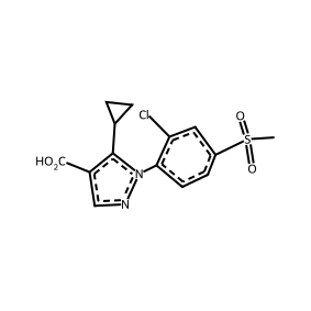 CS(=O)(=O)c1ccc(-n2ncc(C(=O)O)c2C2CC2)c(Cl)c1